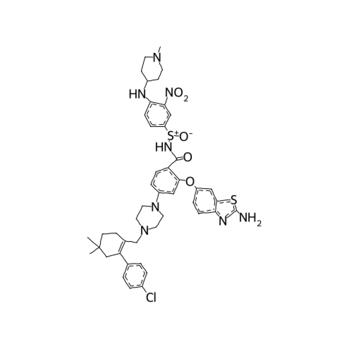 CN1CCC(Nc2ccc([S+]([O-])NC(=O)c3ccc(N4CCN(CC5=C(c6ccc(Cl)cc6)CC(C)(C)CC5)CC4)cc3Oc3ccc4nc(N)sc4c3)cc2[N+](=O)[O-])CC1